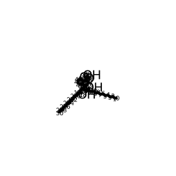 CCCCCCCCCCCCC(O)CN(CC(O)CCCCCCCCCCCC)c1ccc(S(=O)(=O)O)c2ccccc12